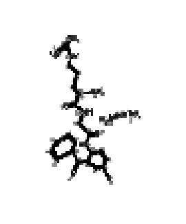 Br.Br.Br.N=C(N)NCCC[C@H](N)C(=O)NCC(=O)Nc1ccc(Br)cc1C(=O)c1ccccn1.O